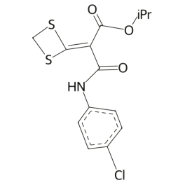 CC(C)OC(=O)C(C(=O)Nc1ccc(Cl)cc1)=C1SCS1